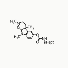 CCCCCCCNC(=O)Oc1ccc2c(c1)C1(C)CCN(C)OC1N2C